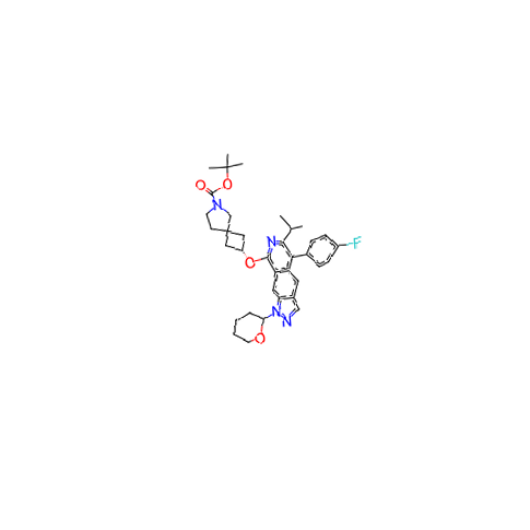 CC(C)c1nc(OC2CC3(CCN(C(=O)OC(C)(C)C)C3)C2)c2cc3c(cnn3C3CCCCO3)cc2c1-c1ccc(F)cc1